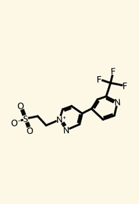 O=S(=O)([O-])CC[n+]1ccc(-c2ccnc(C(F)(F)F)c2)cn1